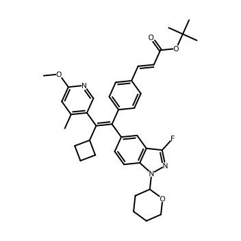 COc1cc(C)c(/C(=C(\c2ccc(C=CC(=O)OC(C)(C)C)cc2)c2ccc3c(c2)c(F)nn3C2CCCCO2)C2CCC2)cn1